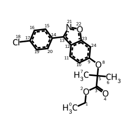 CCOC(=O)C(C)(C)Oc1ccc2c(-c3ccc(Cl)cc3)noc2c1